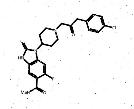 CNC(=O)c1cc2[nH]c(=O)n(C3CCN(CC(=O)Cc4ccc(Cl)cc4)CC3)c2cc1F